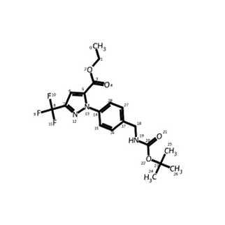 CCOC(=O)c1cc(C(F)(F)F)nn1-c1ccc(CNC(=O)OC(C)(C)C)cc1